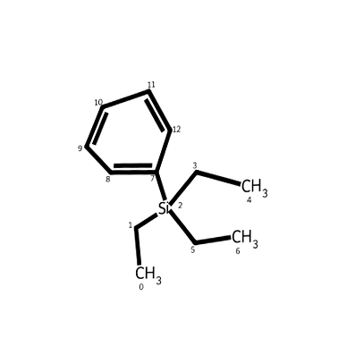 CC[Si](CC)(CC)c1ccccc1